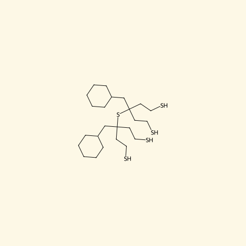 SCCC(CCS)(CC1CCCCC1)SC(CCS)(CCS)CC1CCCCC1